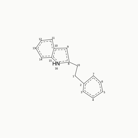 [CH](Cc1ccccc1)c1cc2ccccc2[nH]1